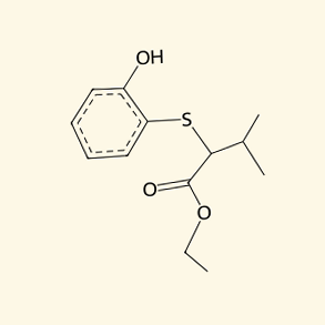 CCOC(=O)C(Sc1ccccc1O)C(C)C